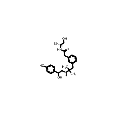 CC[C@H](CO)NC(=O)Cc1cccc(CC(C)(C)NCC(O)c2ccc(O)cc2)c1